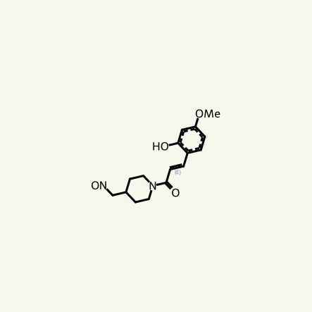 COc1ccc(/C=C/C(=O)N2CCC(CN=O)CC2)c(O)c1